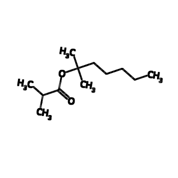 CCCCCC(C)(C)OC(=O)C(C)C